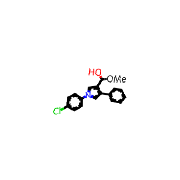 COC(O)c1cn(-c2ccc(Cl)cc2)cc1-c1ccccc1